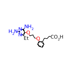 CCc1nc(N)nc(N)c1OCCCOc1ccccc1CCCC(=O)O